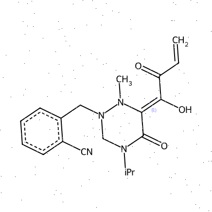 C=CC(=O)/C(O)=C1/C(=O)N(C(C)C)CN(Cc2ccccc2C#N)N1C